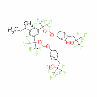 CCC(C)c1cc(C(OCOC2CC3CC2CC3CC(O)(C(F)(F)F)C(F)(F)F)(C(F)(F)F)C(F)(F)F)cc(C(OCOC2CC3CC2CC3CC(O)(C(F)(F)F)C(F)(F)F)(C(F)(F)F)C(F)(F)F)c1